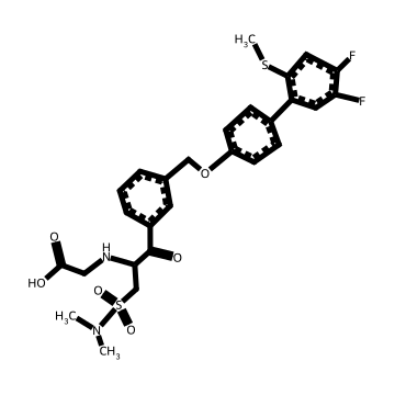 CSc1cc(F)c(F)cc1-c1ccc(OCc2cccc(C(=O)C(CS(=O)(=O)N(C)C)NCC(=O)O)c2)cc1